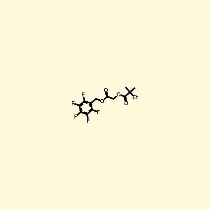 CCC(C)(C)C(=O)OCC(=O)OCc1c(F)c(F)c(F)c(F)c1F